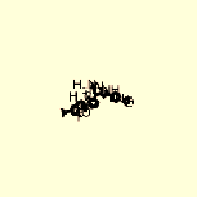 Cc1c(-c2nc(N)nc3[nH]c(C4=CCN(C5COC5)CC4)cc23)cccc1-n1ccc2cc(C3CC3)cc(F)c2c1=O